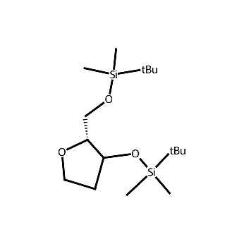 CC(C)(C)[Si](C)(C)OC[C@H]1OCCC1O[Si](C)(C)C(C)(C)C